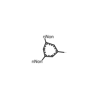 [CH2]c1cc(CCCCCCCCC)cc(CCCCCCCCC)c1